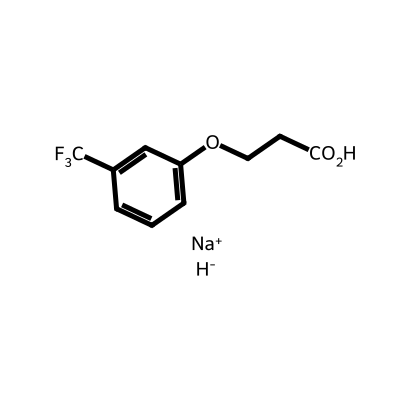 O=C(O)CCOc1cccc(C(F)(F)F)c1.[H-].[Na+]